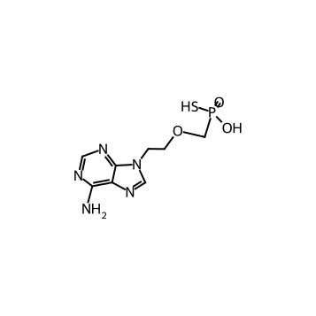 Nc1ncnc2c1ncn2CCOCP(=O)(O)S